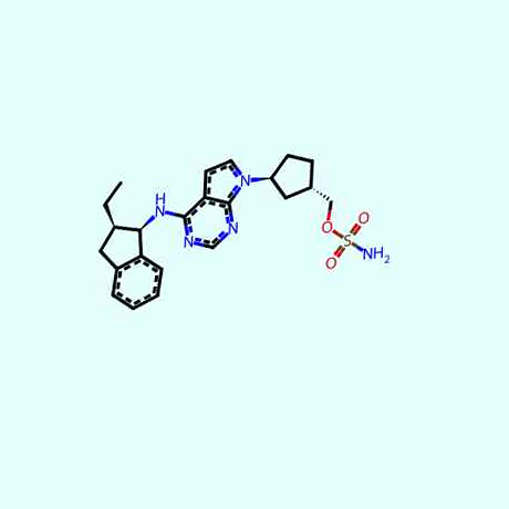 CC[C@@H]1Cc2ccccc2[C@@H]1Nc1ncnc2c1ccn2[C@H]1CC[C@H](COS(N)(=O)=O)C1